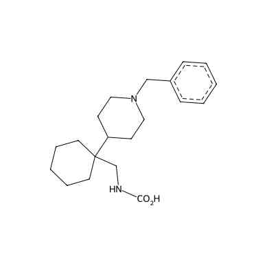 O=C(O)NCC1(C2CCN(Cc3ccccc3)CC2)CCCCC1